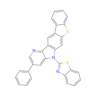 c1ccc(-c2cnc3c4cc5c(cc4n(-c4nc6ccccc6s4)c3c2)sc2ccccc25)cc1